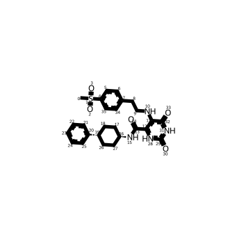 CS(=O)(=O)c1ccc(CCNc2c(C(=O)N[C@H]3CC[C@@H](c4ccccc4)CC3)[nH]c(=O)[nH]c2=O)cc1